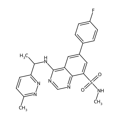 CNS(=O)(=O)c1cc(-c2ccc(F)cc2)cc2c(NC(C)c3ccc(C)nn3)ncnc12